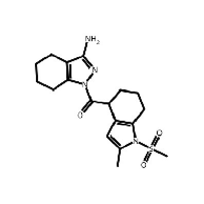 Cc1cc2c(n1S(C)(=O)=O)CCCC2C(=O)n1nc(N)c2c1CCCC2